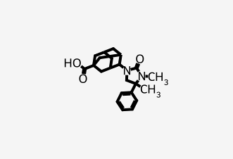 CN1C(=O)N(C2C3CC4CC2CC(C(=O)O)(C4)C3)CC1(C)c1ccccc1